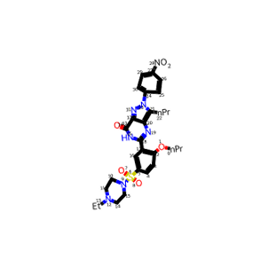 CCCOc1ccc(S(=O)(=O)N2CCN(CC)CC2)cc1-c1nc2c(CCC)n(-c3ccc([N+](=O)[O-])cc3)nc2c(=O)[nH]1